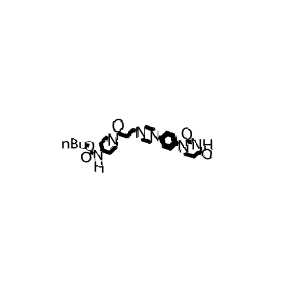 CCCCOC(=O)NC1CCN(C(=O)CCN2CCN(c3ccc(N4CCC(=O)NC4=O)cc3)CC2)CC1